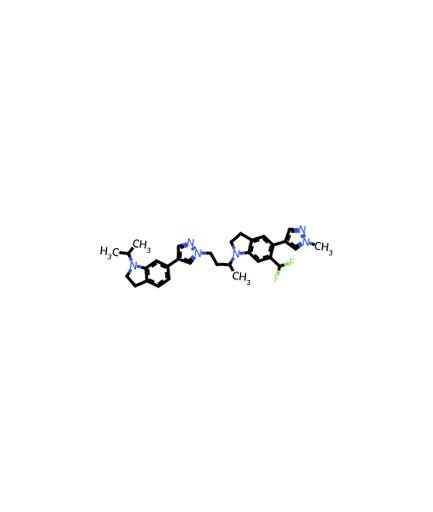 CC(C)N1CCc2ccc(-c3cnn(CCC(C)N4CCc5cc(-c6cnn(C)c6)c(C(F)F)cc54)c3)cc21